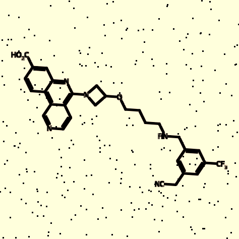 N#CCc1cc(CNCCCCOC2CN(c3nc4cc(C(=O)O)ccc4c4cnccc34)C2)cc(C(F)(F)F)c1